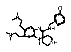 CN(C)CCc1cc2c(cc1CCN(C)C)NC1(CCNCC1)C(NCc1cccc(Cl)c1)=N2